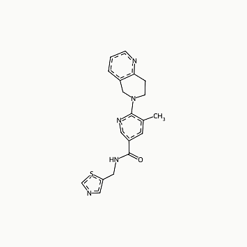 Cc1cc(C(=O)NCc2cncs2)cnc1N1CCc2ncccc2C1